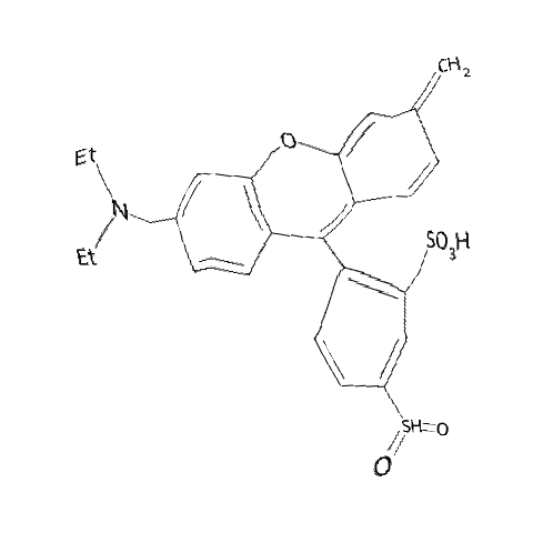 C=c1ccc2c(c1)Oc1cc(N(CC)CC)ccc1C=2c1ccc([SH](=O)=O)cc1S(=O)(=O)O